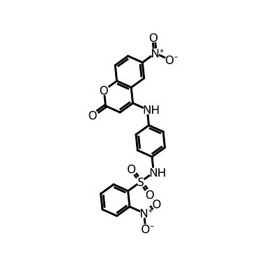 O=c1cc(Nc2ccc(NS(=O)(=O)c3ccccc3[N+](=O)[O-])cc2)c2cc([N+](=O)[O-])ccc2o1